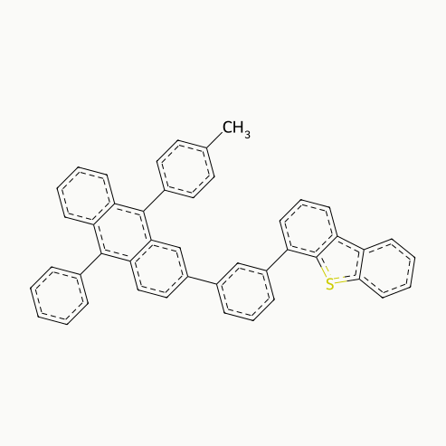 Cc1ccc(-c2c3ccccc3c(-c3ccccc3)c3ccc(-c4cccc(-c5cccc6c5sc5ccccc56)c4)cc23)cc1